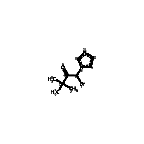 CC(C)(C)C(=O)C(Br)n1ccnc1